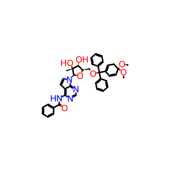 COC1(OC)C=CC(C(OC[C@H]2O[C@@H](n3ccc4c(NC(=O)c5ccccc5)ncnc43)[C@](C)(O)[C@@H]2O)(c2ccccc2)c2ccccc2)=CC1